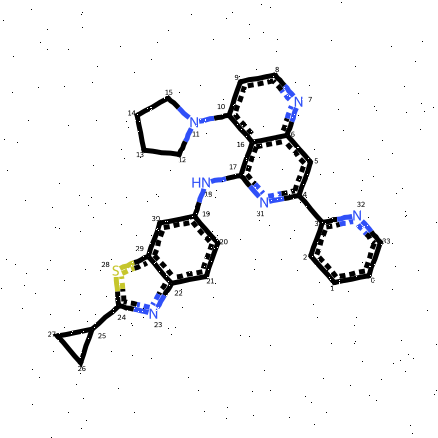 c1ccc(-c2cc3nccc(N4CCCC4)c3c(Nc3ccc4nc(C5CC5)sc4c3)n2)nc1